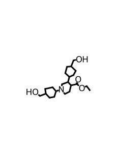 CCOC(=O)C1CCN(C2CCC(CO)CC2)CC1C1CCC(CO)CC1